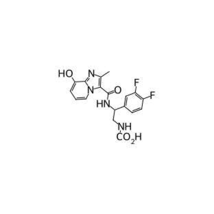 Cc1nc2c(O)cccn2c1C(=O)NC(CNC(=O)O)c1ccc(F)c(F)c1